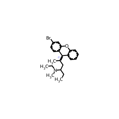 CCC(C/C(C)=C1\c2ccccc2Oc2cc(Br)ccc21)N(C)CC